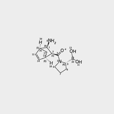 N[C@H]1[C@@H](C(=O)N2CCC[C@H]2B(O)O)[C@H]2C=C[C@@H]1C2